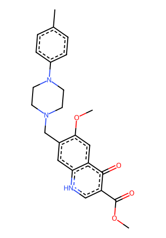 COC(=O)c1c[nH]c2cc(CN3CCN(c4ccc(C)cc4)CC3)c(OC)cc2c1=O